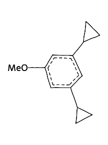 COc1cc(C2CC2)cc(C2CC2)c1